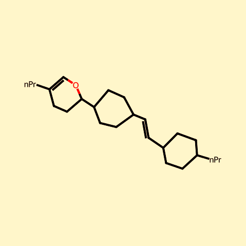 CCCC1=COC(C2CCC(/C=C/C3CCC(CCC)CC3)CC2)CC1